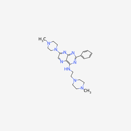 CN1CCN(CCNc2nc(-c3ccccc3)nc3nc(N4CCN(C)CC4)cnc23)CC1